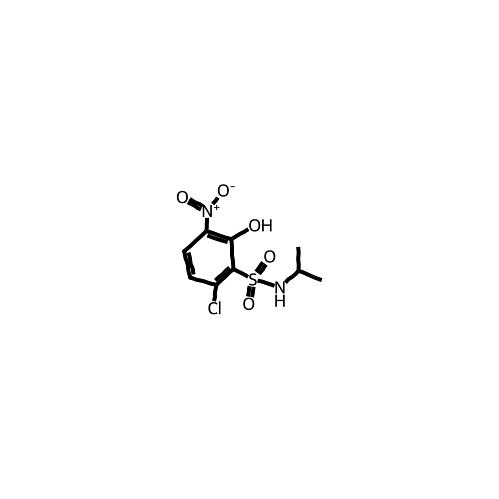 CC(C)NS(=O)(=O)c1c(Cl)ccc([N+](=O)[O-])c1O